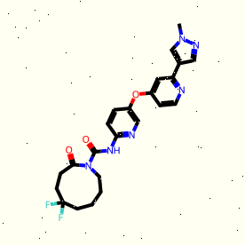 Cn1cc(-c2cc(Oc3ccc(NC(=O)N4CCCCC(F)(F)CCC4=O)nc3)ccn2)cn1